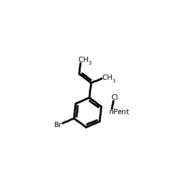 CC=C(C)c1cccc(Br)c1.CCCCCCl